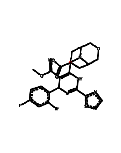 COC(=O)C1=C(CN2C3COCC2CC(C(=O)O)C3)NC(c2nccs2)=NC1c1ccc(F)cc1Br